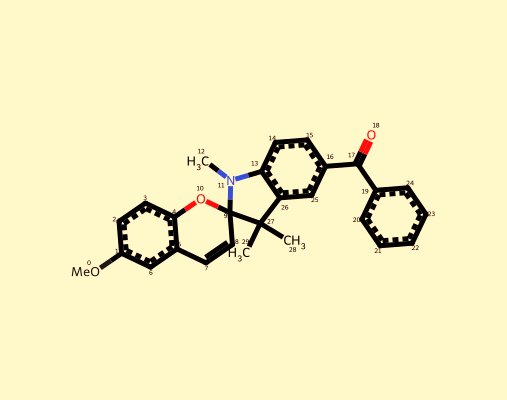 COc1ccc2c(c1)C=CC1(O2)N(C)c2ccc(C(=O)c3ccccc3)cc2C1(C)C